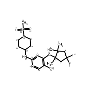 CC1(O)CC(F)(F)CC1(C)Oc1nc(NC2CCN(S(C)(=O)=O)CC2)ncc1C#N